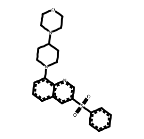 O=S(=O)(c1ccccc1)c1cnc2c(N3CCC(N4CCOCC4)CC3)cccc2c1